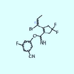 C/C=C(/Br)C1=C(C(=N)Oc2cc(F)cc(C#N)c2)CC(F)(F)C1